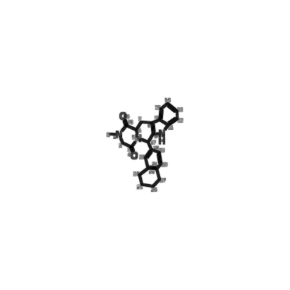 CN1CC(=O)N2C(Cc3c([nH]c4ccccc34)C2c2ccc3c(c2)CCCC3)C1=O